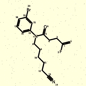 C=C(F)CCC(=O)N(CCCCCC#N)c1cccc(Br)c1